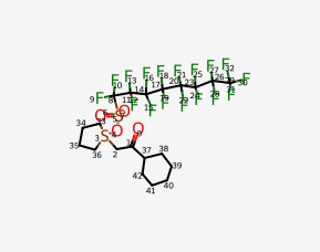 O=C(CS1(OS(=O)(=O)C(F)(F)C(F)(F)C(F)(F)C(F)(F)C(F)(F)C(F)(F)C(F)(F)C(F)(F)F)CCCC1)C1CCCCC1